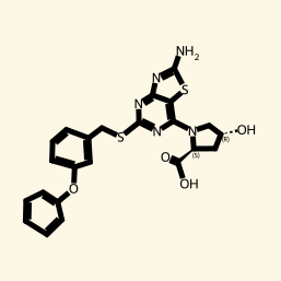 Nc1nc2nc(SCc3cccc(Oc4ccccc4)c3)nc(N3C[C@H](O)C[C@H]3C(=O)O)c2s1